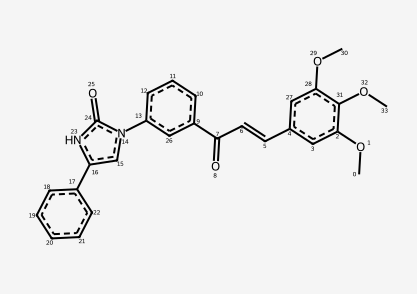 COc1cc(/C=C/C(=O)c2cccc(-n3cc(-c4ccccc4)[nH]c3=O)c2)cc(OC)c1OC